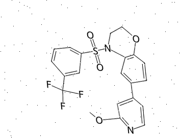 COc1cc(-c2ccc3c(c2)N(S(=O)(=O)c2cccc(C(F)(F)F)c2)CCO3)ccn1